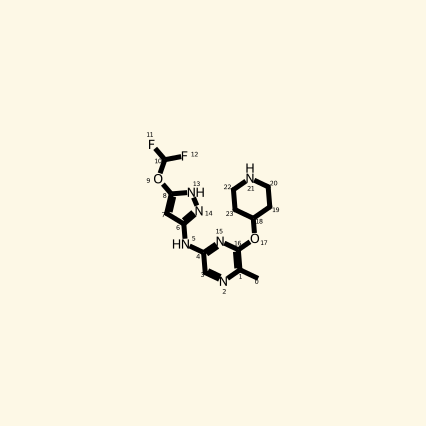 Cc1ncc(Nc2cc(OC(F)F)[nH]n2)nc1OC1CCNCC1